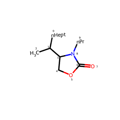 CCCCCCCC(C)C1COC(=O)N1CCC